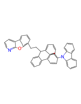 c1ccc(C(CCc2cccc3c2oc2ncccc23)c2ccccc2-c2ccc(-n3c4ccccc4c4ccccc43)cc2)cc1